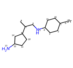 CC(C)C1CCC(NCC(C)C2CCC(N)C2)CC1